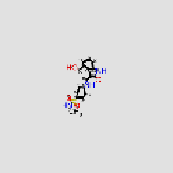 CNS(=O)(=O)c1ccc(N/C=C2\C(=O)Nc3cccc(CO)c32)cc1